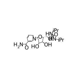 CC(C)NP(=O)(NC(C)C)OC[C@H]1O[C@@H]([n+]2cccc(C(N)=O)c2)[C@H](O)[C@@H]1O